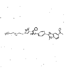 CC(=O)c1ccc2c(c1)nc(-c1ccc(NC(=O)c3cn(CCOCCO)nn3)cc1)n2C